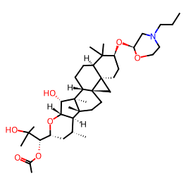 CCCN1CCO[C@@H](O[C@H]2CC[C@]34C[C@]35CC[C@]3(C)[C@@H]6[C@H](O[C@@H]([C@H](OC(C)=O)C(C)(C)O)C[C@H]6C)[C@H](O)[C@@]3(C)[C@@H]5CC[C@H]4C2(C)C)C1